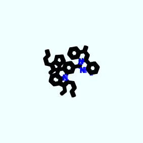 C=C/C=C\C1=C(C)C2(C3=C1CC=C3)c1ccc(/C(N)=N/C(=C\C(=C)c3ccccc3)c3ccccc3)cc1-n1c(/C=C\C=C)c(CC)c3cccc2c31